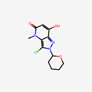 Cn1c(=O)cc(O)c2nn(C3CCCCO3)c(Cl)c21